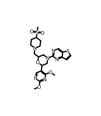 COc1ncc(C2CN(c3ncc4sccc4n3)CC(CN3CCC(S(C)(=O)=O)CC3)O2)c(OC)n1